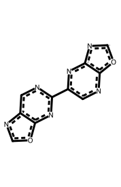 [c]1nc2nc(-c3ncc4ncoc4n3)cnc2o1